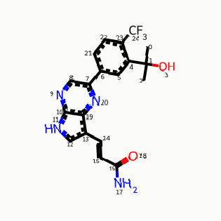 CC(C)(O)c1cc(-c2cnc3[nH]cc(C=CC(N)=O)c3n2)ccc1C(F)(F)F